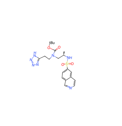 C[C@H](CN(CCc1nnn[nH]1)C(=O)OC(C)(C)C)NS(=O)(=O)c1ccc2cnccc2c1